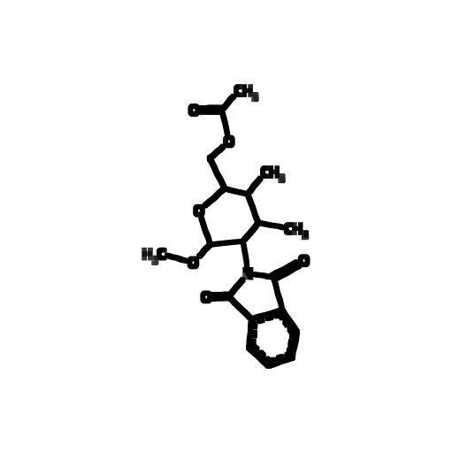 COC1OC(COC(C)=O)C(C)C(C)C1N1C(=O)c2ccccc2C1=O